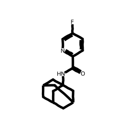 O=C(NC12C[C]3CC(CC(C3)C1)C2)c1ccc(F)cn1